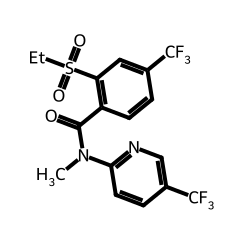 CCS(=O)(=O)c1cc(C(F)(F)F)ccc1C(=O)N(C)c1ccc(C(F)(F)F)cn1